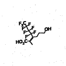 CC(C(=O)O)=C(CCCO)C(F)(F)C(F)(F)C(F)(F)C(F)(F)F